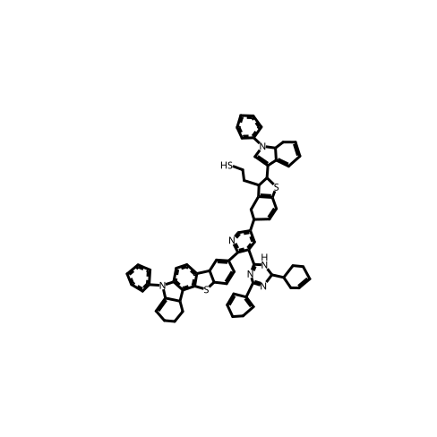 SCCC1C2=C(C=CC(c3cnc(C4=CC5c6ccc7c(c6SC5C=C4)C4CCCC=C4N7c4ccccc4)c(C4=NC(C5=CCCC=C5)=NC(C5CC=CCC5)N4)c3)C2)SC1C1=CN(c2ccccc2)C2CC=CC=C12